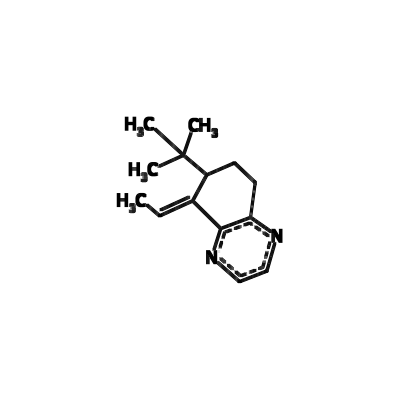 C/C=C1/c2nccnc2CCC1C(C)(C)C